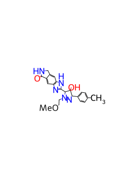 COCCN1N=C(c2ccc(C)cc2)C(O)C1c1nc2cc3c(cc2[nH]1)CNC3=O